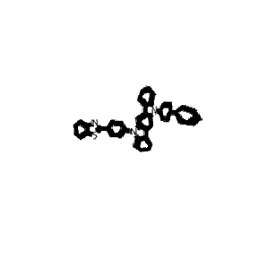 c1ccc(-c2ccc(-n3c4ccccc4c4cc5c(cc43)c3ccccc3n5-c3ccc(-c4nc5ccccc5s4)cc3)cc2)cc1